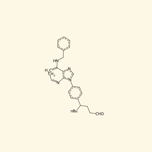 C=C(NCc1ccccc1)c1ncn(-c2ccc(C(CCC=O)CCCC)cc2)c1/N=C\C